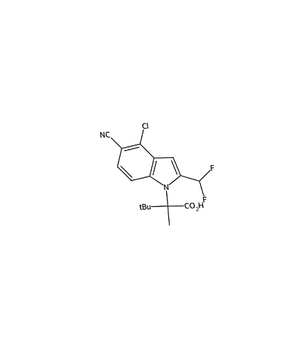 CC(C)(C)C(C)(C(=O)O)n1c(C(F)F)cc2c(Cl)c(C#N)ccc21